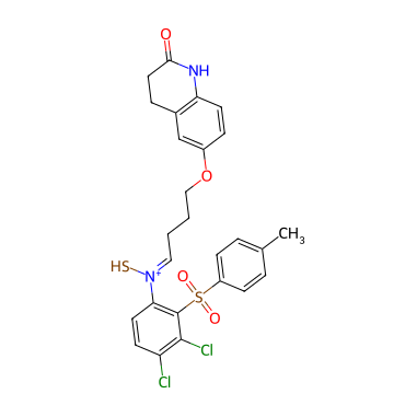 Cc1ccc(S(=O)(=O)c2c([N+](S)=CCCCOc3ccc4c(c3)CCC(=O)N4)ccc(Cl)c2Cl)cc1